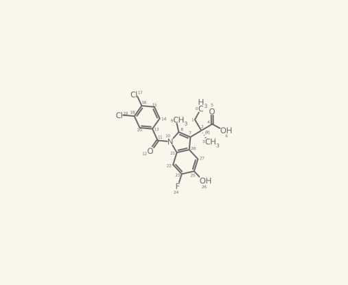 CC[C@@](C)(C(=O)O)c1c(C)n(C(=O)c2ccc(Cl)c(Cl)c2)c2cc(F)c(O)cc12